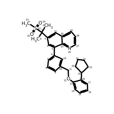 CC(C)(c1cc(-c2cccc(COc3ccccc3C3CCCC3)c2)c2ncccc2c1)S(C)(=O)=O